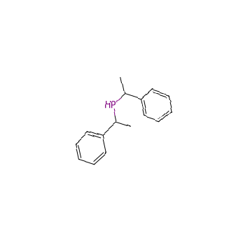 CC(PC(C)c1ccccc1)c1ccccc1